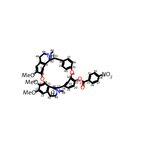 COc1cc2c3cc1Oc1c(OC)c(OC)cc4c1[C@@H](Cc1ccc(OC(=O)c5ccc([N+](=O)[O-])cc5)c(c1)Oc1ccc(cc1)C[C@@H]3N(C)CC2)N(C)CC4